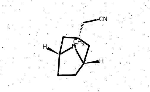 CN1[C@@H]2CC[C@H]1C[C@@H](CC#N)C2